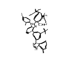 Cc1ccc(-n2c(-c3cc(C(C)(C)C)cc(C(C)(C)C)c3O)nc3c(-c4cc(-c5ncnc6c(C)cccc56)cc(C(C)(C)C)c4)cccc32)c(C)c1